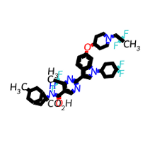 CC1CC2CC(C1)C(NC(=O)c1cnc(-c3cn(C4CCC(F)(F)CC4)c4cc(OC5CCN(CC(C)(F)F)CC5)ccc34)nc1C(C)(F)F)(C(=O)O)C2